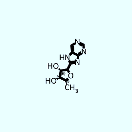 C[C@H]1OC(c2nc3ncncc3[nH]2)[C@H](O)[C@@H]1O